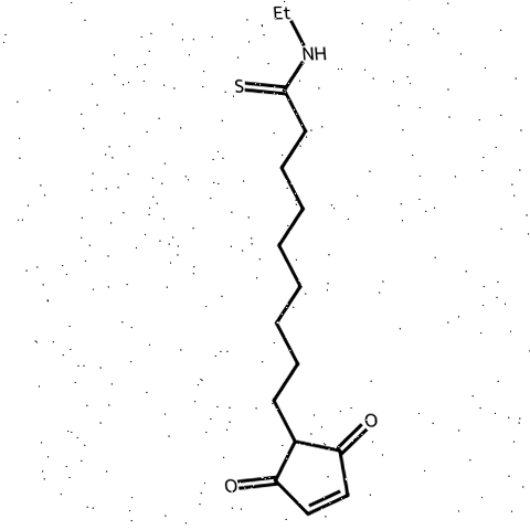 CCNC(=S)CCCCCCCCC1C(=O)C=CC1=O